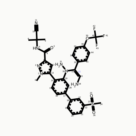 Cn1nc(C(=O)NC(C)(C)C#N)cc1-c1ccc(-c2cccc(S(C)(=O)=O)c2)cc1N(N)/C(=C\N)c1ccc(OC(F)(F)F)cc1